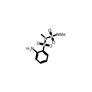 CNS(=O)(=O)N(C)S(=O)(=O)c1ccccc1N